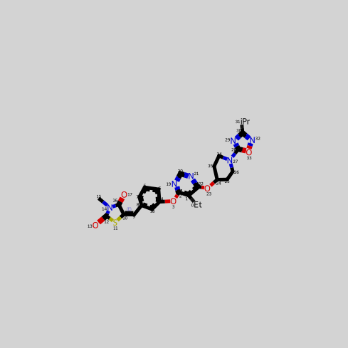 CCc1c(Oc2cccc(/C=C3/SC(=O)N(C)C3=O)c2)ncnc1OC1CCN(c2nc(C(C)C)no2)CC1